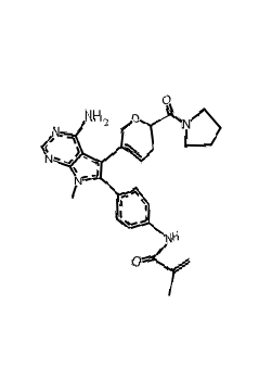 C=C(C)C(=O)Nc1ccc(-c2c(C3=CCC(C(=O)N4CCCC4)OC3)c3c(N)ncnc3n2C)cc1